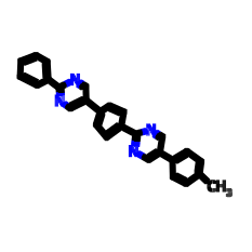 Cc1ccc(-c2cnc(-c3ccc(-c4cnc(-c5ccccc5)nc4)cc3)nc2)cc1